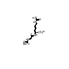 CC(C)(C)OC(=O)NCC(=O)N[C@@H](CCCCNC(N)=O)C(=O)O